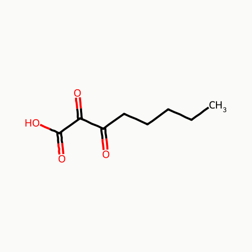 CCCCCC(=O)C(=O)C(=O)O